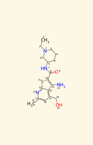 CCN1CCCC(NC(=O)c2sc3nc(C)cc(CO)c3c2N)C1